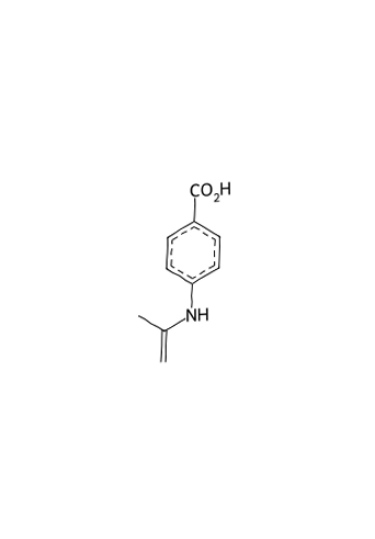 C=C(C)Nc1ccc(C(=O)O)cc1